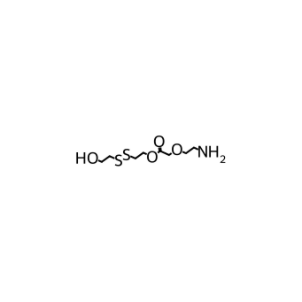 NCCOCC(=O)OCCSSCCO